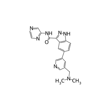 CN(C)Cc1cncc(-c2ccc3[nH]nc(C(=O)Nc4cnccn4)c3c2)c1